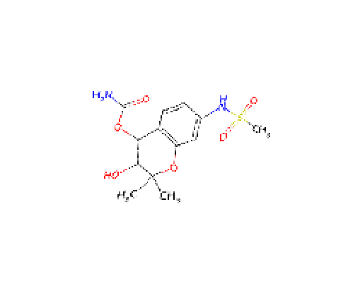 CC1(C)Oc2cc(NS(C)(=O)=O)ccc2C(OC(N)=O)C1O